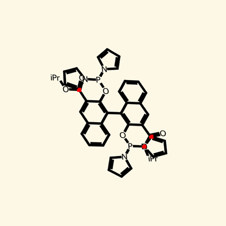 CC(C)OC(=O)c1cc2ccccc2c(-c2c(OP(n3cccc3)n3cccc3)c(C(=O)OC(C)C)cc3ccccc23)c1OP(n1cccc1)n1cccc1